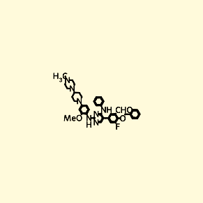 COc1cc(N2CCC(N3CCN(C)CC3)CC2)ccc1Nc1ncc(-c2cc(F)c(OCc3ccccc3)c(C=O)c2)c(Nc2ccccc2)n1